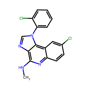 CNc1nc2ccc(Cl)cc2c2c1ncn2-c1ccccc1Cl